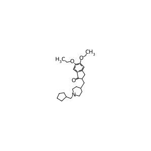 CCOc1cc2c(cc1OCC)C(=O)C(CC1CCN(CC3CCCC3)CC1)C2